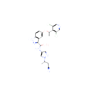 CC(Oc1ccc2[nH]nc(C(O)Nc3cnn(C(C)CC#N)c3)c2c1)c1c(Cl)cncc1Cl